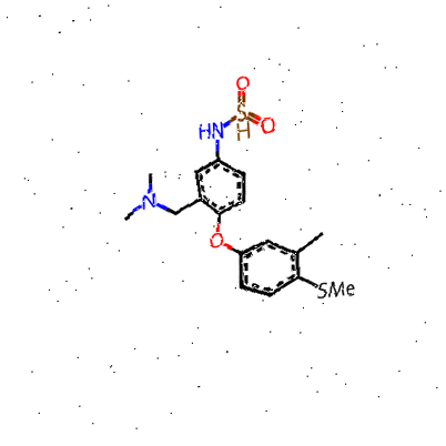 CSc1ccc(Oc2ccc(N[SH](=O)=O)cc2CN(C)C)cc1C